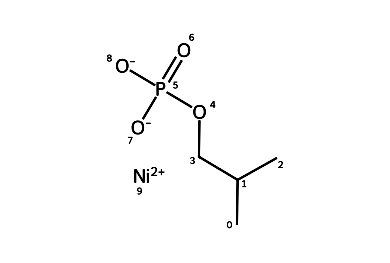 CC(C)COP(=O)([O-])[O-].[Ni+2]